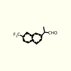 CC(C=O)c1ccc2ccc(C(F)(F)F)cc2c1